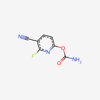 N#Cc1ccc(OC(N)=O)nc1F